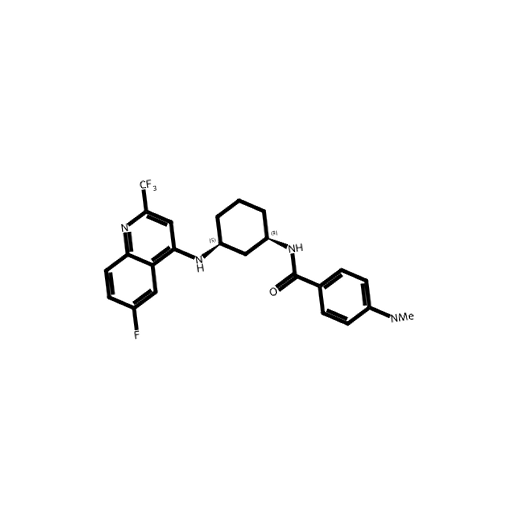 CNc1ccc(C(=O)N[C@@H]2CCC[C@H](Nc3cc(C(F)(F)F)nc4ccc(F)cc34)C2)cc1